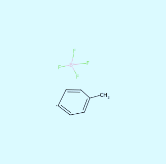 Cc1cc[c]cc1.F[B-](F)(F)F